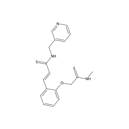 CNC(=S)COc1ccccc1C=CC(=S)NCc1cccnc1